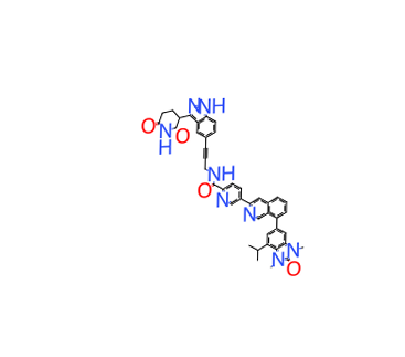 CC(C)c1cc(-c2cccc3cc(-c4ccc(C(=O)NCC#Cc5ccc6[nH]nc(C7CCC(=O)NC7=O)c6c5)nc4)ncc23)cc2c1n(C)c(=O)n2C